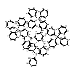 c1ccc(-n2c3ccccc3c3c2ccc2c4ccc(C(c5ccccc5)(c5ccccc5)c5ccccc5)cc4n(-c4nc(-c5cccc([Si](c6ccccc6)(c6ccccc6)c6ccccc6)c5)nc(-n5c6ccccc6c6cc([Si](c7ccccc7)(c7ccccc7)c7ccccc7)ccc65)n4)c23)cc1